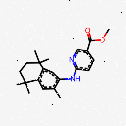 COC(=O)c1ccc(Nc2cc3c(cc2C)C(C)(C)CCC3(C)C)nc1